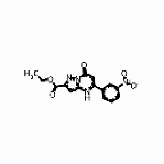 CCOC(=O)c1cc2[nH]c(-c3cccc([N+](=O)[O-])c3)cc(=O)n2n1